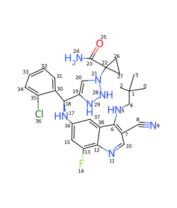 CC(C)(C)CNc1c(C#N)cnc2c(F)cc(N[C@H](C3=CN(C4(C(N)=O)CC4)NN3)c3ccccc3Cl)cc12